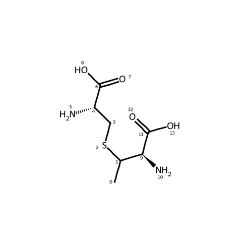 CC(SC[C@H](N)C(=O)O)[C@H](N)C(=O)O